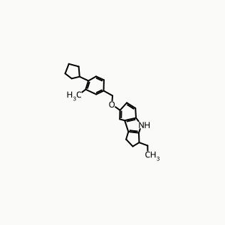 CCC1CCc2c1[nH]c1ccc(OCc3ccc(C4CCCC4)c(C)c3)cc21